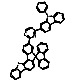 c1ccc(-n2c3ccccc3c3ccc(-c4ccnc(-c5ccc6c(c5)C5(c7ccccc7-c7ccccc75)c5ccc7c(sc8ccccc87)c5-6)n4)cc32)cc1